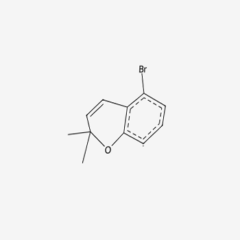 CC1(C)C=Cc2c([c]ccc2Br)O1